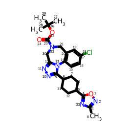 Cc1noc(C2CCC(c3nnc4n3-c3ccc(Cl)cc3CN(C(=O)OC(C)(C)C)C4)CC2)n1